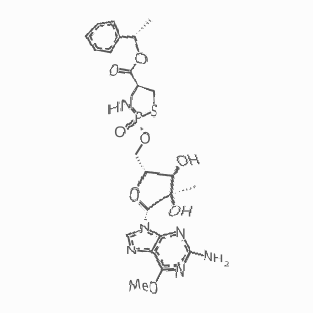 COc1nc(N)nc2c1ncn2[C@@H]1O[C@H](CO[P@]2(=O)N[C@@H](C(=O)O[C@@H](C)c3ccccc3)CS2)[C@@H](O)[C@@]1(C)O